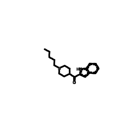 CCCCCN1CCC(C(=O)c2cc3ccccc3[nH]2)CC1